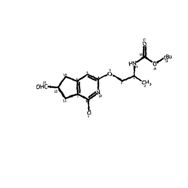 CC(COc1cc2c(c(Cl)n1)CC(C=O)C2)NC(=O)OC(C)(C)C